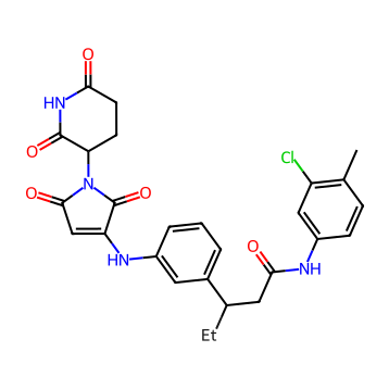 CCC(CC(=O)Nc1ccc(C)c(Cl)c1)c1cccc(NC2=CC(=O)N(C3CCC(=O)NC3=O)C2=O)c1